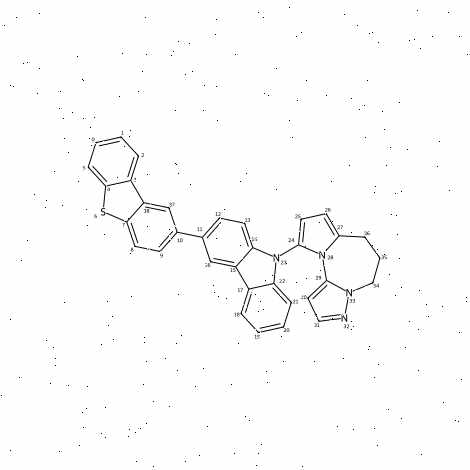 c1ccc2c(c1)sc1ccc(-c3ccc4c(c3)c3ccccc3n4-c3ccc4n3-c3ccnn3CCC4)cc12